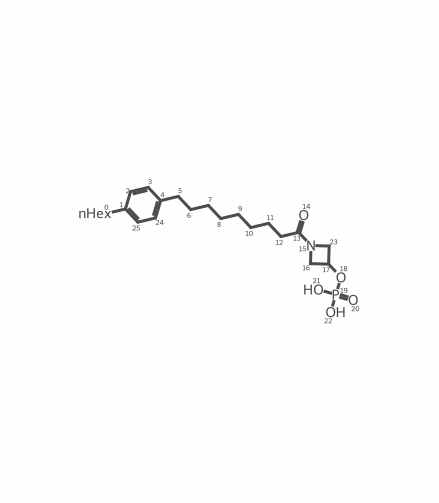 CCCCCCc1ccc(CCCCCCCCC(=O)N2CC(OP(=O)(O)O)C2)cc1